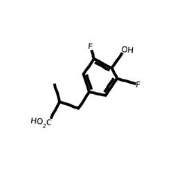 CC(Cc1cc(F)c(O)c(F)c1)C(=O)O